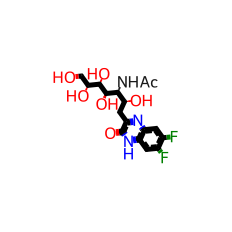 CC(=O)N[C@@H]([C@@H](O)[C@@H](O)[C@H](O)CO)[C@H](O)Cc1nc2cc(F)c(F)cc2[nH]c1=O